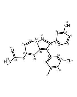 Cc1cc(-c2c(-c3cccc(C#N)c3)nn3ccc(CC(N)=O)nc23)cc(Cl)n1